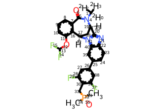 [2H]C([2H])([2H])N1C(=O)c2cccc(OC(F)F)c2[C@H]2C[C@@H]1c1nc3ccc(-c4cc(F)c(CP(C)(C)=O)c(F)c4)cc3n12